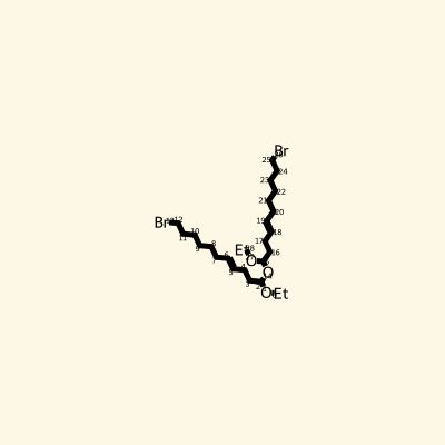 CCOC(CCC=CCCCCCCBr)OC(CCC=CCCCCCCBr)OCC